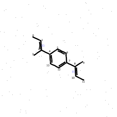 C/C=C(\C)c1ccc(/C(C)=C/C)cc1